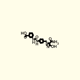 NC(=O)c1c(O)ncn1Cc1ccc(NC(=O)Nc2cccc(C(=O)O)c2)cc1